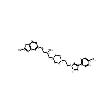 CCCc1nc2cc(OC[C@@H](O)CN3CCN(CCn4cc(-c5ccc(C(F)(F)F)cc5)cn4)CC3)ccc2s1